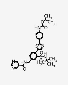 CC(C)OC(=O)Nc1ccc(-c2ncc(-c3ccc(CNC(=O)c4cncnc4)cc3S(=O)(=O)NC(C)(C)C)s2)cc1